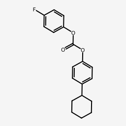 O=C(Oc1ccc(F)cc1)Oc1ccc(C2CCCCC2)cc1